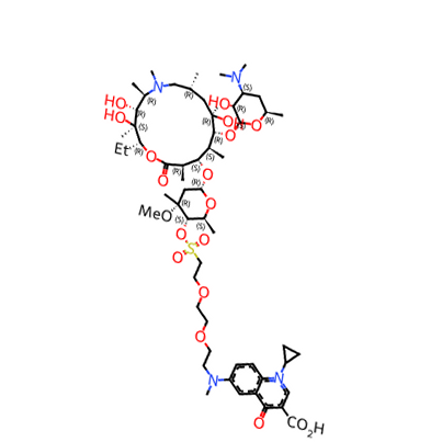 CC[C@H]1OC(=O)[C@H](C)[C@@H](O[C@H]2C[C@@](C)(OC)[C@@H](OS(=O)(=O)CCOCCOCCN(C)c3ccc4c(c3)c(=O)c(C(=O)O)cn4C3CC3)[C@H](C)O2)[C@H](C)[C@@H](O[C@@H]2O[C@H](C)C[C@H](N(C)C)[C@H]2O)[C@](C)(O)C[C@@H](C)CN(C)[C@H](C)[C@@H](O)[C@]1(C)O